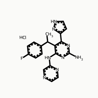 CC(c1ccc(F)cc1)c1c(Nc2cnccn2)nc(N)nc1-c1cc[nH]n1.Cl